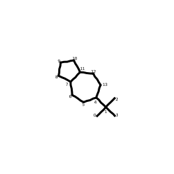 CC(C)(C)C1CCC2CCCC2CC1